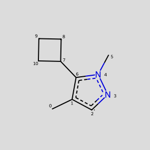 Cc1[c]nn(C)c1C1CCC1